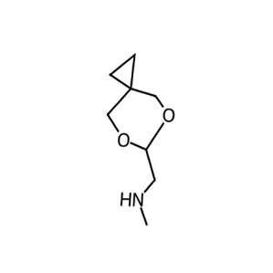 CNCC1OCC2(CC2)CO1